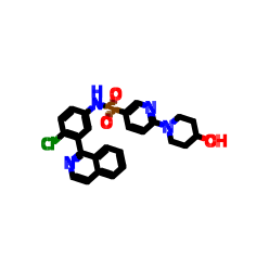 O=S(=O)(Nc1ccc(Cl)c(-c2nccc3ccccc23)c1)c1ccc(N2CCC(O)CC2)nc1